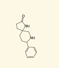 O=C1CCC2(CCC(c3ccccc3)NC2)N1